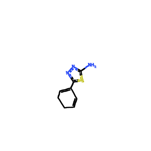 Nc1nnc(C2=CCCC=C2)s1